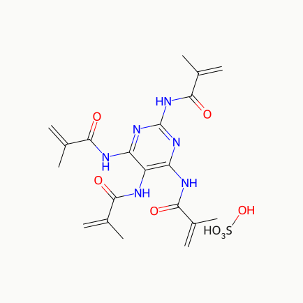 C=C(C)C(=O)Nc1nc(NC(=O)C(=C)C)c(NC(=O)C(=C)C)c(NC(=O)C(=C)C)n1.O=S(=O)(O)O